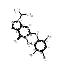 CC(C)n1ncc2c(=O)n(C)c(Oc3cc(F)c(Br)cc3F)nc21